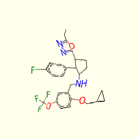 Cc1nnc(C2CCC(NCc3cc(OC(F)(F)F)ccc3OCC3CC3)C2c2ccc(F)cc2)o1